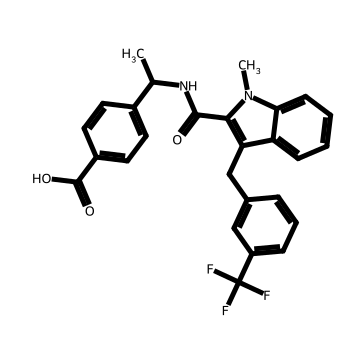 CC(NC(=O)c1c(Cc2cccc(C(F)(F)F)c2)c2ccccc2n1C)c1ccc(C(=O)O)cc1